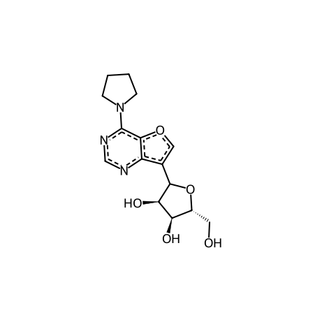 OC[C@H]1OC(c2coc3c(N4CCCC4)ncnc23)[C@H](O)[C@@H]1O